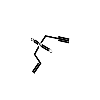 C#CCS(=O)(=O)CC=C